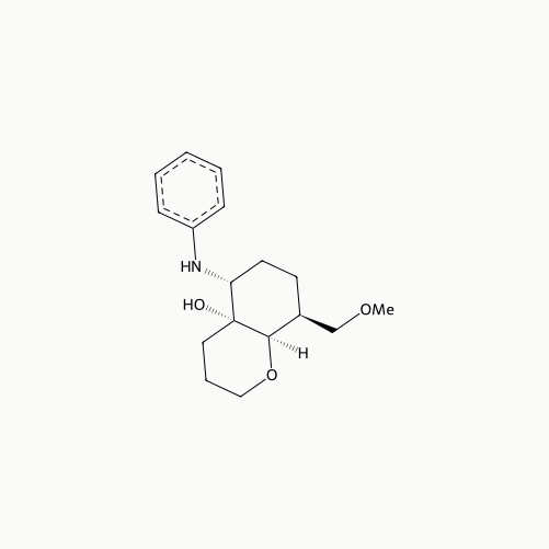 COC[C@@H]1CC[C@@H](Nc2ccccc2)[C@]2(O)CCCO[C@H]12